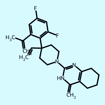 C=CC1(c2c(F)cc(F)cc2C(=C)C)CCN(C2=NC3=C(CCCC3)C(=C)N2)CC1